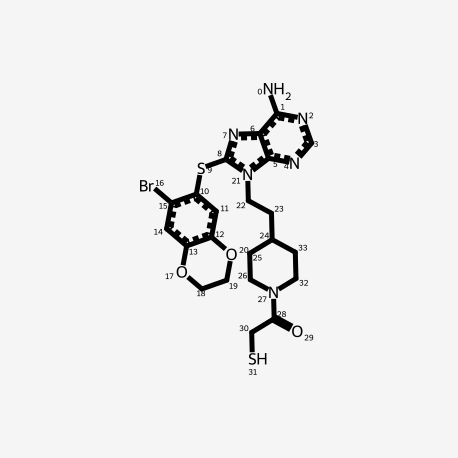 Nc1ncnc2c1nc(Sc1cc3c(cc1Br)OCCO3)n2CCC1CCN(C(=O)CS)CC1